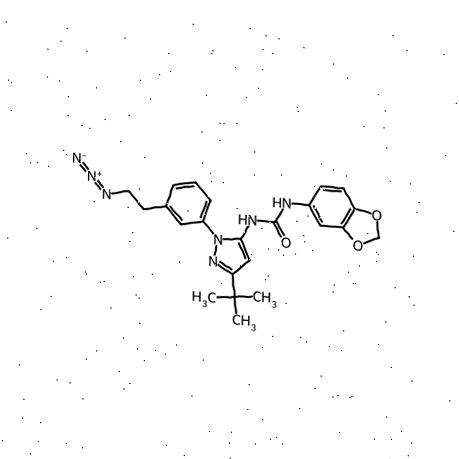 CC(C)(C)c1cc(NC(=O)Nc2ccc3c(c2)OCO3)n(-c2cccc(CCN=[N+]=[N-])c2)n1